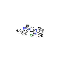 Cc1cccc(C)c1-c1nc(Cl)c2c(n1)CCN(c1cc(C(C)C)nn1C)C2